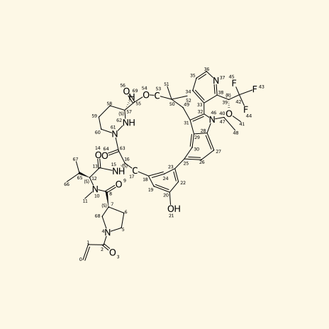 C=CC(=O)N1CC[C@H](C(=O)N(C)[C@H](C(=O)N[C@H]2Cc3cc(O)cc(c3)-c3ccc4c(c3)c(c(-c3cccnc3[C@@H](OC)C(F)(F)F)n4CC)CC(C)(C)COC(=O)[C@@H]3CCCN(N3)C2=O)C(C)C)C1